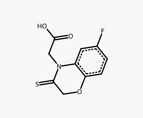 O=C(O)CN1C(=S)COc2ccc(F)cc21